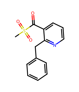 CS(=O)(=O)C(=O)c1cccnc1Cc1ccccc1